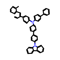 C=C/C(=C\c1ccccc1C)c1ccc(N(c2ccc(-c3ccccc3)cc2)c2ccc(-c3ccc(-n4c5ccccc5c5ccccc54)cc3)cc2)cc1